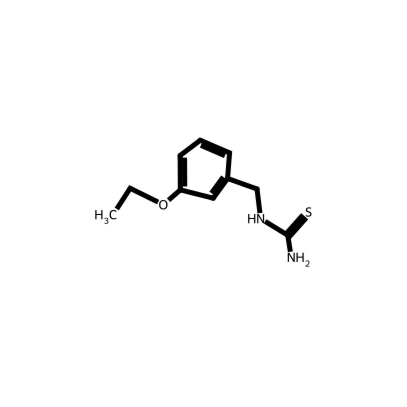 CCOc1cccc(CNC(N)=S)c1